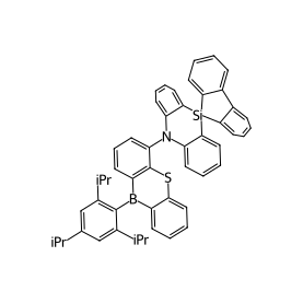 CC(C)c1cc(C(C)C)c(B2c3ccccc3Sc3c2cccc3N2c3ccccc3[Si]3(c4ccccc4-c4ccccc43)c3ccccc32)c(C(C)C)c1